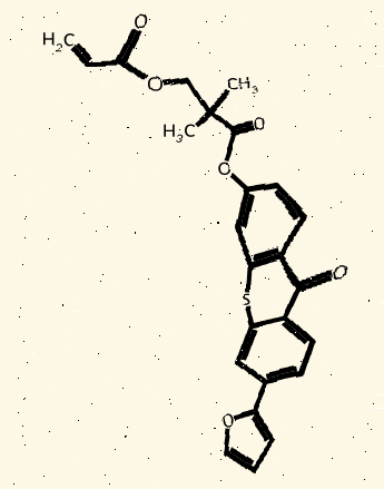 C=CC(=O)OCC(C)(C)C(=O)Oc1ccc2c(=O)c3ccc(-c4ccco4)cc3sc2c1